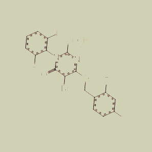 O=C(O)c1nc(OCc2ccc(F)cc2F)c(Br)c(=O)n1-c1c(F)cccc1F